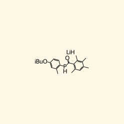 Cc1cc(OCC(C)C)ccc1PC(=O)c1c(C)cc(C)c(C)c1C.[LiH]